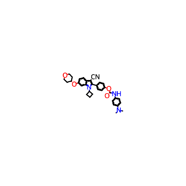 CN(C)c1ccc(NC(=O)Oc2ccc(-c3c(C#N)c4ccc(OC5CCOCC5)cc4n3C3CCC3)cc2)cc1